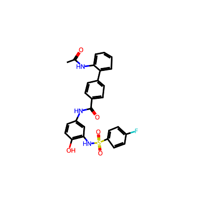 CC(=O)Nc1ccccc1-c1ccc(C(=O)Nc2ccc(O)c(NS(=O)(=O)c3ccc(F)cc3)c2)cc1